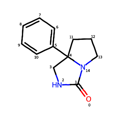 O=C1NCC2(c3ccccc3)CCCN12